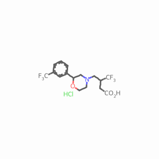 Cl.O=C(O)CC(CN1CCOC(c2cccc(C(F)(F)F)c2)C1)C(F)(F)F